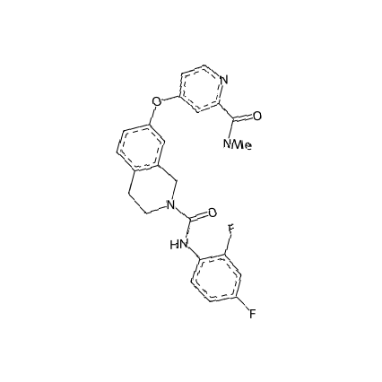 CNC(=O)c1cc(Oc2ccc3c(c2)CN(C(=O)Nc2ccc(F)cc2F)CC3)ccn1